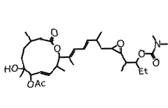 CCC(OC(=O)N(C)C)C(C)C1OC1CC(C)/C=C/C=C(\C)C1OC(=O)CC(C)CCC(C)(O)C(OC(C)=O)/C=C/C1C